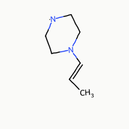 CC=CN1CC[N]CC1